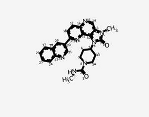 CNC(=O)N1CCC(n2c(=O)n(C)c3cnc4ccc(-c5cnc6ccccc6c5)nc4c32)CC1